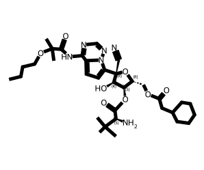 CCCCOC(C)(C)C(=O)Nc1ncnn2c([C@]3(C#N)O[C@H](COC(=O)CC4CCCCC4)[C@@H](OC(=O)[C@@H](N)C(C)(C)C)[C@H]3O)ccc12